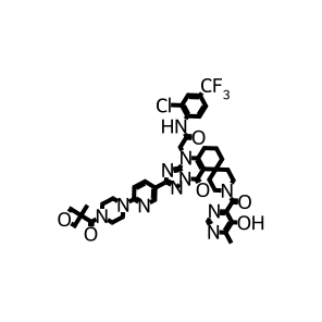 Cc1ncnc(C(=O)N2CCC3(CCCc4c3c(=O)n3nc(-c5ccc(N6CCN(C(=O)C7(C)COC7)CC6)nc5)nc3n4CC(=O)Nc3ccc(C(F)(F)F)cc3Cl)CC2)c1O